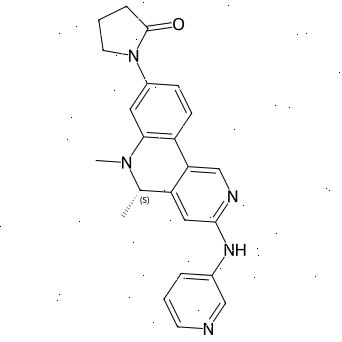 C[C@H]1c2cc(Nc3cccnc3)ncc2-c2ccc(N3CCCC3=O)cc2N1C